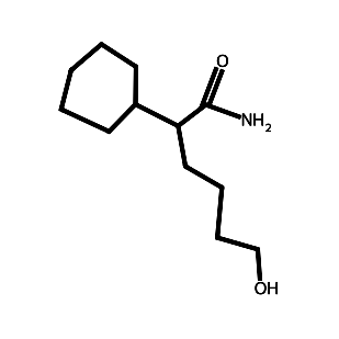 NC(=O)C(CCCCO)C1CCCCC1